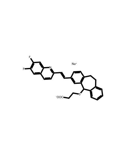 O=C([O-])CCSC1c2ccccc2CCc2ccc(/C=C/c3ccc4cc(F)c(F)cc4n3)cc21.[Na+]